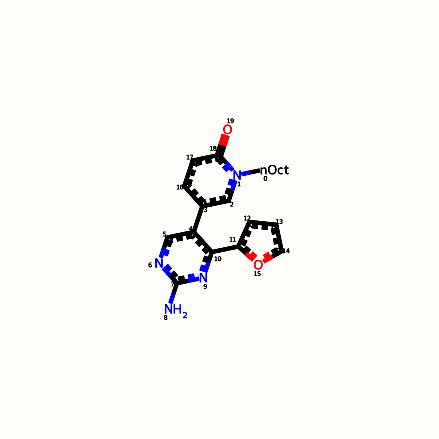 CCCCCCCCn1cc(-c2cnc(N)nc2-c2ccco2)ccc1=O